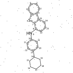 c1ccc2c(c1)sc1c(Nc3ccc(C4CCCCC4)cc3)cccc12